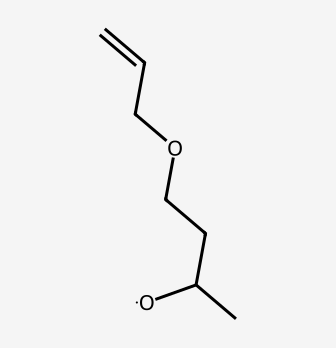 C=CCOCCC(C)[O]